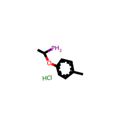 Cc1ccc(OC(C)P)cc1.Cl